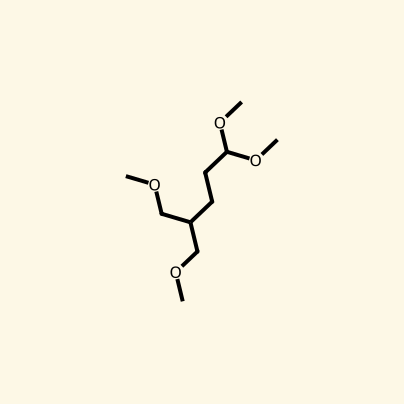 COCC(CCC(OC)OC)COC